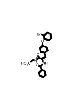 O=C(O)CNC(=O)/C(=C\c1ccc(Oc2ccccc2Br)cc1)NC(=O)c1ccccc1